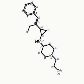 CC/C(=C\c1ccccc1)C1CC1NC1CCN(CCO)CC1